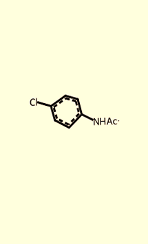 CC(=O)[N]c1ccc(Cl)cc1